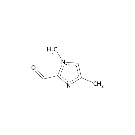 Cc1cn(C)c(C=O)n1